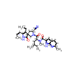 C=CC1=C(/C=C\C)NC(=O)[C@]12C[C@@H](C#N)N(C(=O)C(CC(C)C)N(C)C(=O)c1cc3ccc(C)nc3[nH]1)C2